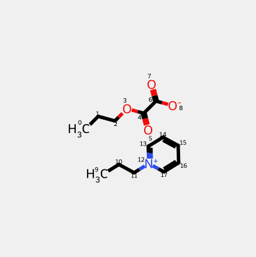 CCCOC(=O)C(=O)[O-].CCC[n+]1ccccc1